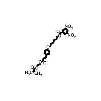 C=C(C)C(=O)OCCOC(=O)/C=C/c1ccc(OCCCCCCOC(=O)c2cc([N+](=O)[O-])cc([N+](=O)[O-])c2)cc1